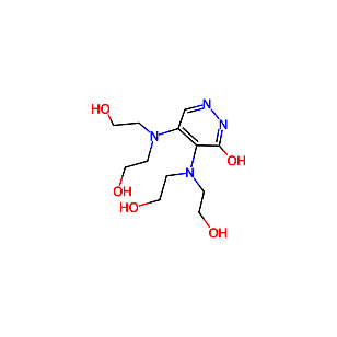 OCCN(CCO)c1cnnc(O)c1N(CCO)CCO